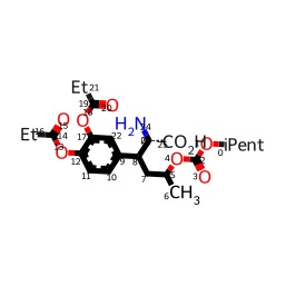 CCCC(C)OC(=O)OC(C)CC(c1ccc(OC(=O)CC)c(OC(=O)CC)c1)[C@H](N)C(=O)O